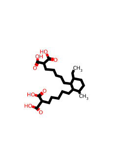 CCC1CCC(C)C(CCCCCC(C(=O)O)C(=O)O)C1CCCCCC(C(=O)O)C(=O)O